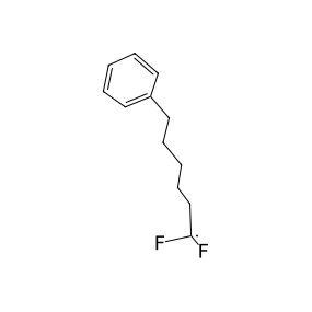 F[C](F)CCCCCc1ccccc1